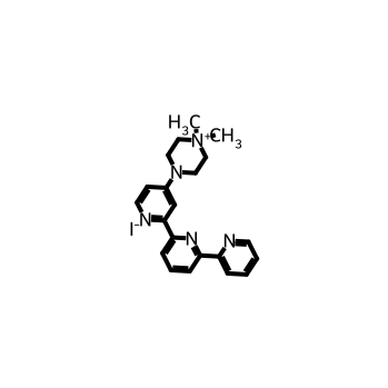 C[N+]1(C)CCN(c2ccnc(-c3cccc(-c4ccccn4)n3)c2)CC1.[I-]